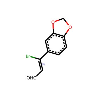 O=C/C=C(\Br)c1ccc2c(c1)OCO2